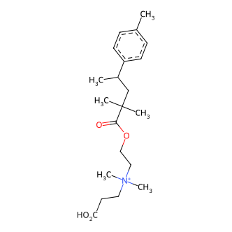 Cc1ccc(C(C)CC(C)(C)C(=O)OCC[N+](C)(C)CCC(=O)O)cc1